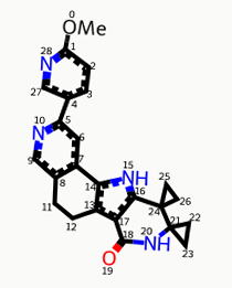 COc1ccc(-c2cc3c(cn2)CCc2c-3[nH]c3c2C(=O)NC2(CC2)C32CC2)cn1